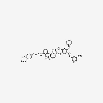 Cc1c(COc2cc(OCc3cncc(C#N)c3)c(CN3CCCCC3)cc2Cl)cccc1-c1cccc(OCCCN2CCC3(CCOCC3)CC2)c1C